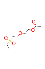 CCS(=O)(=O)CCOCCOC(C)=O